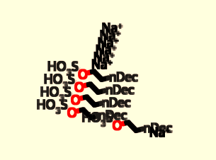 CCCCCCCCCCCCOS(=O)(=O)O.CCCCCCCCCCCCOS(=O)(=O)O.CCCCCCCCCCCCOS(=O)(=O)O.CCCCCCCCCCCCOS(=O)(=O)O.CCCCCCCCCCCCOS(=O)(=O)O.[Na+].[Na+].[Na+].[Na+].[Na+].[Na+].[Na+]